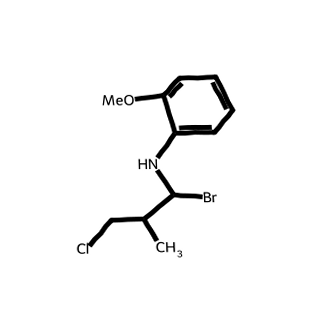 COc1ccccc1NC(Br)C(C)CCl